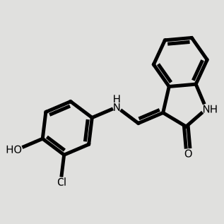 O=C1Nc2ccccc2/C1=C\Nc1ccc(O)c(Cl)c1